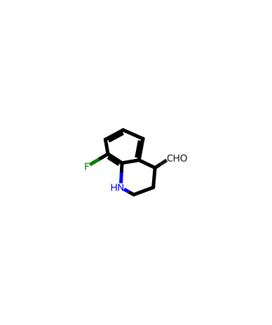 O=CC1CCNc2c(F)cccc21